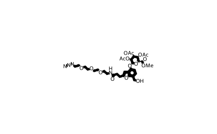 COC(=O)[C@H]1O[C@@H](Oc2ccc(CO)c3oc(CCC(=O)NCCOCCOCCOCCN=[N+]=[N-])cc23)[C@H](OC(C)=O)[C@@H](OC(C)=O)[C@@H]1OC(C)=O